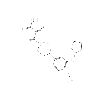 COc1ccc(C2CCN(C(=O)C(=NO)C(N)=O)CC2)cc1OC1CCCC1